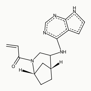 C=CC(=O)N1CC(Nc2ncnc3[nH]ccc23)[C@@H]2CC[C@H]1C2